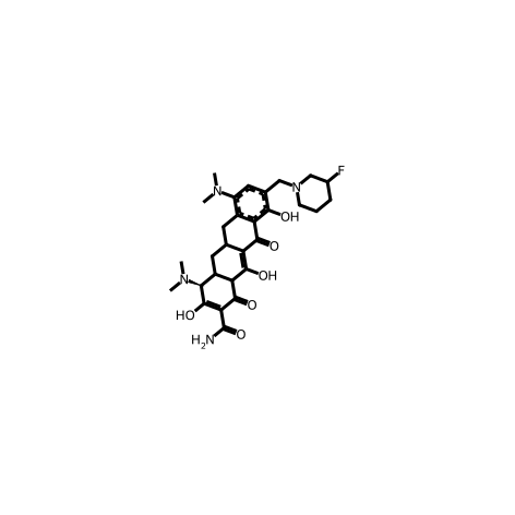 CN(C)c1cc(CN2CCCC(F)C2)c(O)c2c1CC1CC3C(C(=O)C(C(N)=O)=C(O)[C@H]3N(C)C)C(O)=C1C2=O